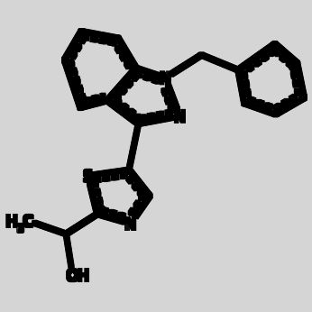 CC(O)c1ncc(-c2nn(Cc3ccccc3)c3ccccc23)s1